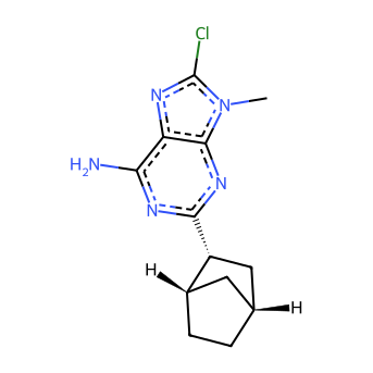 Cn1c(Cl)nc2c(N)nc([C@@H]3C[C@@H]4CC[C@H]3C4)nc21